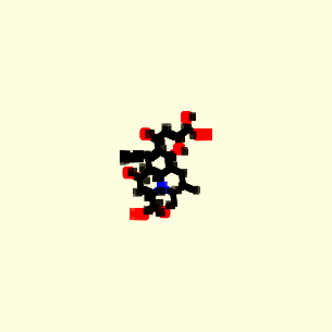 CCCc1c2oc(C(=O)O)cc(=O)c2cc2c(=O)cc(C(=O)O)n(CC)c12.[NaH]